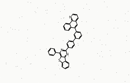 c1ccc(-c2nc(-c3ccc(-c4cccc(-c5cc6cccnc6c6ccccc56)c4)cc3)nc3c2sc2ccccc23)cc1